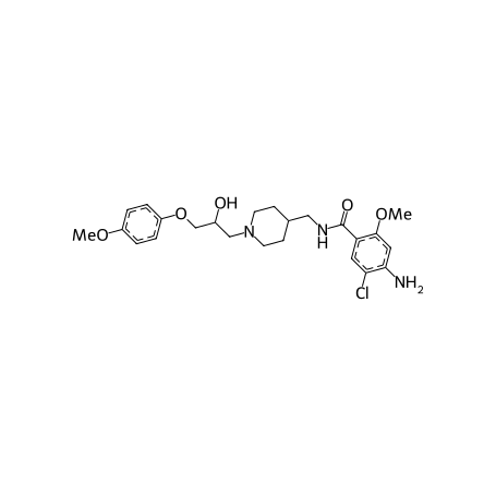 COc1ccc(OCC(O)CN2CCC(CNC(=O)c3cc(Cl)c(N)cc3OC)CC2)cc1